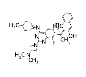 C/C(=C\C(O)=C/c1ccccc1C)c1c(Cl)cc2c(N=S3CCC(C)CC3)nc(N3CC(N(C)C)C3)nc2c1F